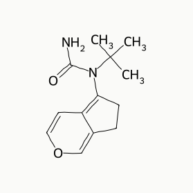 CC(C)(C)N(C(N)=O)C1=C2C=COC=C2CC1